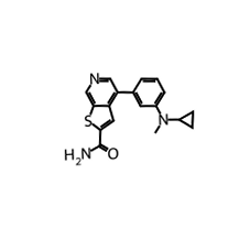 CN(c1cccc(-c2cncc3sc(C(N)=O)cc23)c1)C1CC1